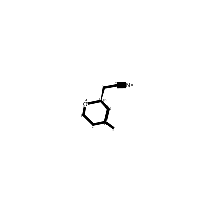 CC1CCO[C@@H](CC#N)C1